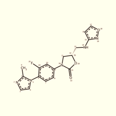 Cc1nccn1-c1ccc(N2C[C@H](CNc3ccon3)OC2=O)cc1F